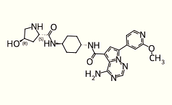 COc1cc(-c2cc(C(=O)N[C@H]3CC[C@H](NC(=O)[C@@H]4C[C@@H](O)CN4)CC3)c3c(N)ncnn23)ccn1